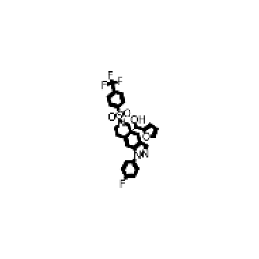 O=S(=O)(c1ccc(C(F)(F)F)cc1)N1CCC2=Cc3c(cnn3-c3ccc(F)cc3)C[C@]2(C(O)c2ccco2)C1